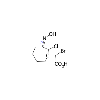 O/N=C1/CCCCCC1Cl.O=C(O)CBr